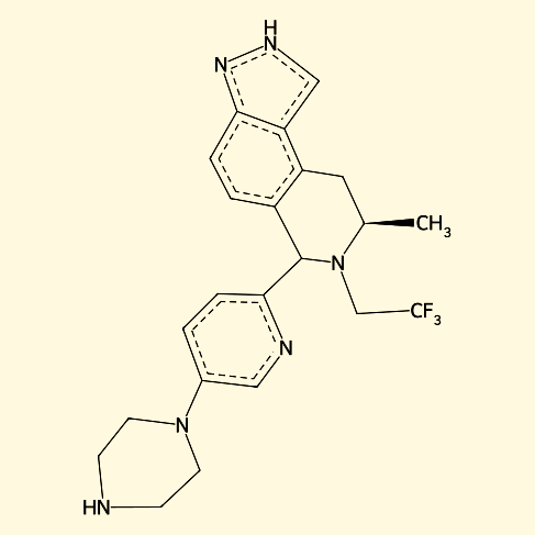 C[C@@H]1Cc2c(ccc3n[nH]cc23)C(c2ccc(N3CCNCC3)cn2)N1CC(F)(F)F